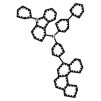 c1ccc(-c2ccc(N(c3ccc(-c4cc5ccc6ccccc6c5c5ccccc45)cc3)c3cccc4c3c3ccccc3n4-c3ccccc3)cc2)cc1